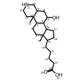 CC12CCC3C(C(O)CC4CNCCC43C)C1CCC2CCCCC(=O)O